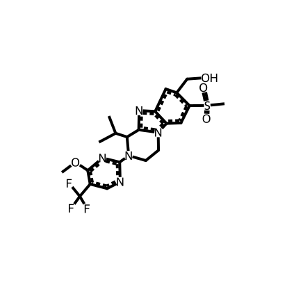 COc1nc(N2CCn3c(nc4cc(CO)c(S(C)(=O)=O)cc43)C2C(C)C)ncc1C(F)(F)F